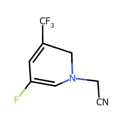 N#CCN1C=C(F)C=C(C(F)(F)F)C1